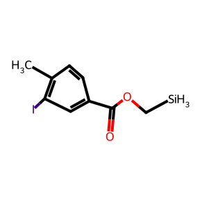 Cc1ccc(C(=O)OC[SiH3])cc1I